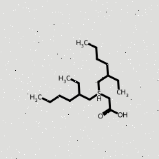 CCCCC(CC)C[SH](CC(=O)O)CC(CC)CCCC